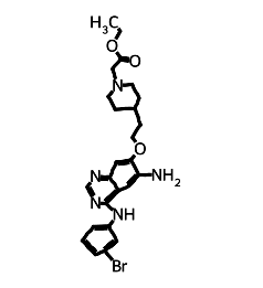 CCOC(=O)CN1CCC(CCOc2cc3ncnc(Nc4cccc(Br)c4)c3cc2N)CC1